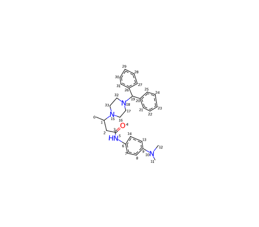 CC(CC(=O)Nc1ccc(N(C)C)cc1)N1CCN(C(c2ccccc2)c2ccccc2)CC1